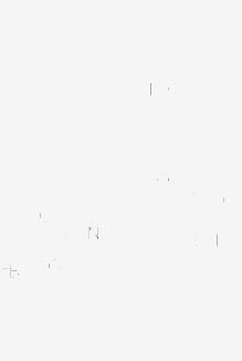 CC(C1CCN(C(=O)OC(C)(C)C)CC1)S(=O)(=O)c1cccc(C(F)(F)F)c1